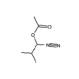 CC(=O)OC([N+]#N)C(C)C